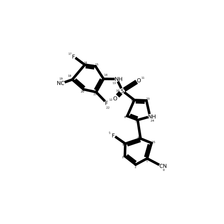 N#Cc1ccc(F)c(-c2cc(S(=O)(=O)Nc3cc(F)c(C#N)cc3F)c[nH]2)c1